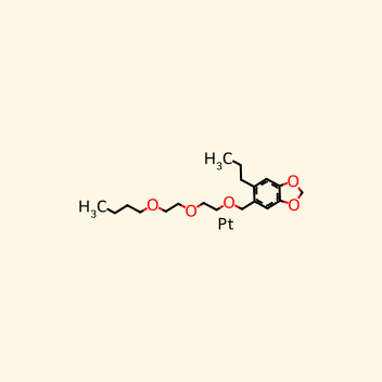 CCCCOCCOCCOCc1cc2c(cc1CCC)OCO2.[Pt]